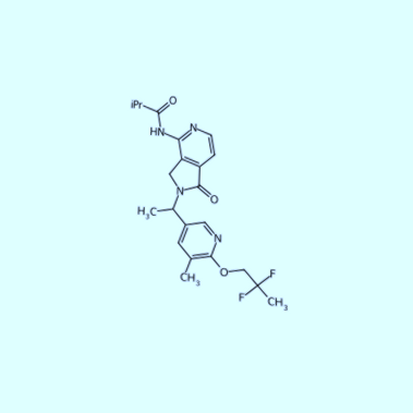 Cc1cc(C(C)N2Cc3c(ccnc3NC(=O)C(C)C)C2=O)cnc1OCC(C)(F)F